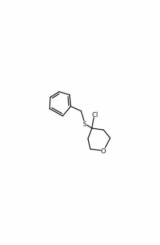 ClC1(SCc2ccccc2)CCOCC1